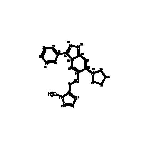 Cn1ncnc1COc1nn2c(-c3cccnc3)nnc2cc1N1CCCC1